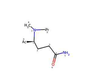 CC(=O)[C@H](CCC(N)=O)N(C)C(C)C